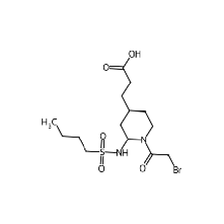 CCCCS(=O)(=O)NC1CC(CCC(=O)O)CCN1C(=O)CBr